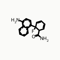 NC(=O)C1C=CC=CC1(F)c1ccc(N)c2ccccc12